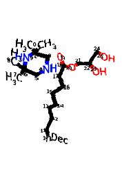 CC1(C)CNCC(C)(C)N1.CCCCCCCCCCCCCCCCCC(=O)OCC(O)CO